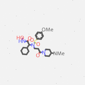 CNC1CCN(C(=O)CCN(C(C(=O)NO)C2CCCCC2)S(=O)(=O)c2ccc(OC)cc2)CC1